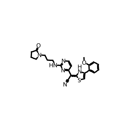 COc1ccccc1C1=CSC(=C(C#N)c2ccnc(NCCCN3CCCC3=O)n2)N1